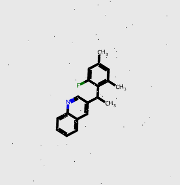 Cc1cc(C)c(C(C)c2cnc3ccccc3c2)c(F)c1